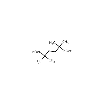 CCCCCCCCC(C)(C)CCC(C)(C)CCCCCCCC